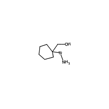 N[N]C1(CO)CCCCC1